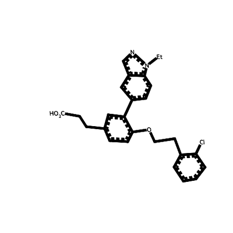 CCn1ncc2cc(-c3cc(CCC(=O)O)ccc3OCCc3ccccc3Cl)ccc21